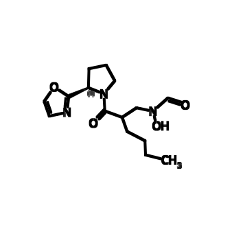 CCCCC(CN(O)C=O)C(=O)N1CCC[C@@H]1c1ncco1